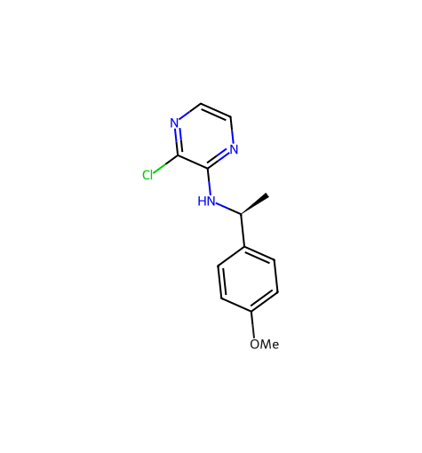 COc1ccc([C@H](C)Nc2nccnc2Cl)cc1